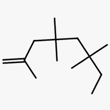 C=C(C)CC(C)(C)CC(C)(C)CC